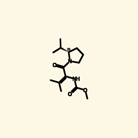 COC(=O)NC(C(=O)N1CCC[C@H]1C(C)C)=C(C)C